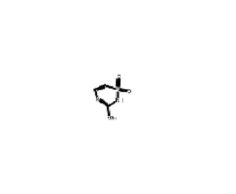 CC(C)(C)C1=NC=CS(=O)(=O)N1